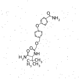 CC(C)(C)C(NC(=O)COCc1ccc(Oc2ccc(C(N)=O)cc2)cc1)C(N)=O